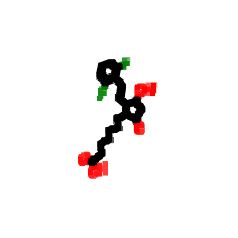 O=C(O)CCCCCCC1C(=O)CC(O)C1/C=C/c1c(F)cccc1F